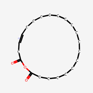 O=C1C/C=C\CCCCCCCCCCCCCCCCC(=O)O1